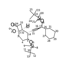 CO[C@@]12CC[C@H](O[Si](C)(C)C(C)(C)C)[C@@H](C#C[C@@H](O[Si](C)(C)C(C)(C)C)C3CCCCC3)[C@@H]1CC2=O